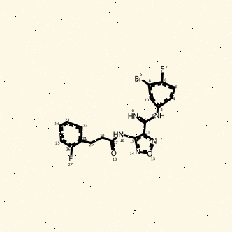 N=C(Nc1ccc(F)c(Br)c1)c1nonc1NC(=O)CCc1ccccc1F